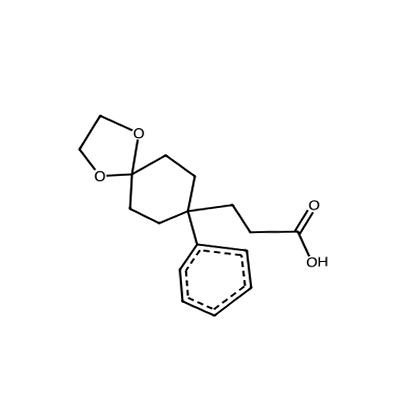 O=C(O)CCC1(c2ccccc2)CCC2(CC1)OCCO2